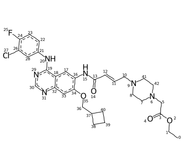 CCOC(=O)CN1CCN(CC=CC(=O)Nc2cc3c(Nc4ccc(F)c(Cl)c4)ncnc3cc2OCC2CCC2)CC1